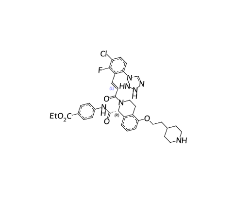 CCOC(=O)c1ccc(NC(=O)[C@H]2c3cccc(OCCC4CCNCC4)c3CCN2C(=O)/C=C/c2c(N3C=NNN3)ccc(Cl)c2F)cc1